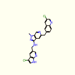 Cn1nc(NCc2cnc3[nH]cc(Cl)c3c2)c2cc(Cc3ccc4ncc(Cl)cc4c3)ncc21